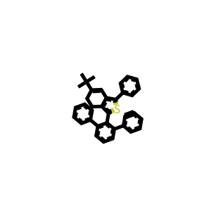 CC(C)(C)C1=Cc2c(-c3ccccc3)sc(-c3c(-c4c#cccc4)cccc3-c3ccccc3)c2CC1